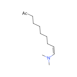 CC(=O)CCCCCC/C=C\N(C)C